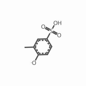 Cc1cc(S(=O)(=O)O)ccc1[O]